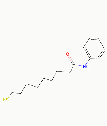 O=C(CCCCCCCCS)Nc1ccccc1